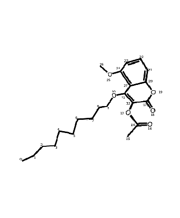 CCCCCCCCCCOc1c(OC(C)=O)c(=O)oc2cccc(OC)c12